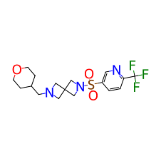 O=S(=O)(c1ccc(C(F)(F)F)nc1)N1CC2(CN(CC3CCOCC3)C2)C1